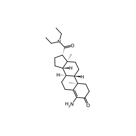 CCN(CC)C(=O)[C@H]1CC[C@H]2[C@@H]3CCC4=C(N)C(=O)CC[C@]4(C)[C@H]3CC[C@]12C